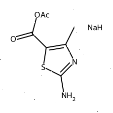 CC(=O)OC(=O)c1sc(N)nc1C.[NaH]